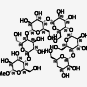 CO[C@H]1O[C@H](CO)[C@@H](O[C@H]2O[C@H](CO)[C@@H](O[C@H]3O[C@H](CO)[C@@H](O[C@H]4O[C@H](CO)[C@@H](O[C@H]5O[C@H](CO)[C@@H](O[C@H]6O[C@H](CO)C[C@@H](O)[C@@H]6O)[C@@H](O)[C@@H]5O)[C@@H](O)[C@@H]4O)[C@@H](O)[C@@H]3O)[C@@H](O)[C@@H]2O)[C@@H](O)[C@@H]1O